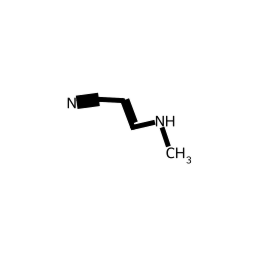 CN/C=C/C#N